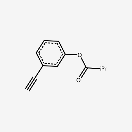 C#Cc1cccc(OC(=O)C(C)C)c1